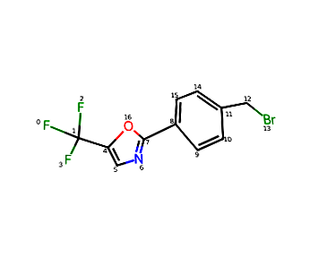 FC(F)(F)c1cnc(-c2ccc(CBr)cc2)o1